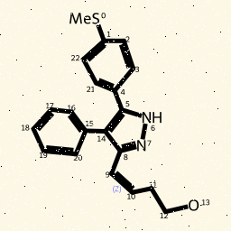 CSc1ccc(-c2[nH]nc(/C=C\CC[O])c2-c2ccccc2)cc1